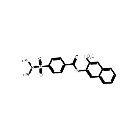 CCCN(CCC)S(=O)(=O)c1ccc(C(=O)Nc2cc3ccccc3cc2C(=O)O)cc1